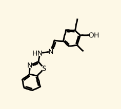 Cc1cc(/C=N/Nc2nc3ccccc3s2)cc(C)c1O